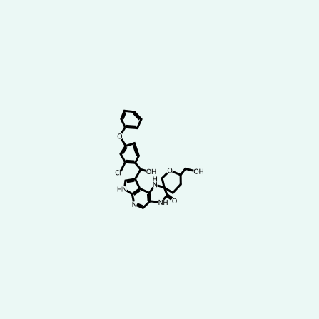 O=C1Nc2cnc3[nH]cc(C(O)c4ccc(Oc5ccccc5)cc4Cl)c3c2NC12CCC(CO)OC2